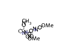 COS(=O)(=O)[O-].COc1ccc(/N=N/c2ccc(/C=N/N=C3/CC=CC=C3Cc3cc[n+](C)cc3)cc2)cc1